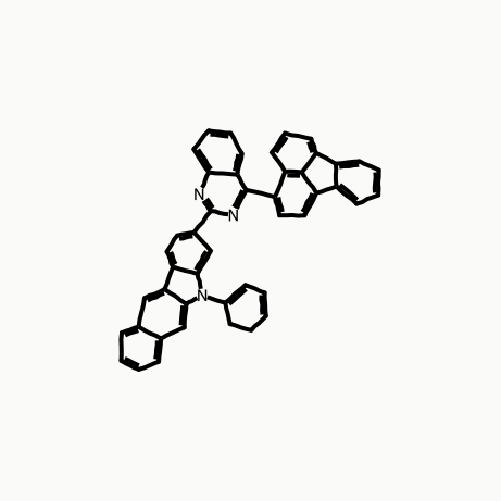 C1=CCCC(n2c3cc(-c4nc(-c5ccc6c7c(cccc57)-c5ccccc5-6)c5ccccc5n4)ccc3c3cc4ccccc4cc32)=C1